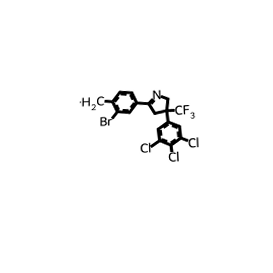 [CH2]c1ccc(C2=NCC(c3cc(Cl)c(Cl)c(Cl)c3)(C(F)(F)F)C2)cc1Br